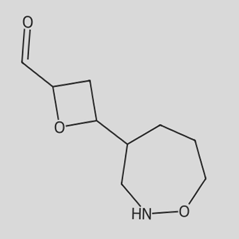 O=CC1CC(C2CCCONC2)O1